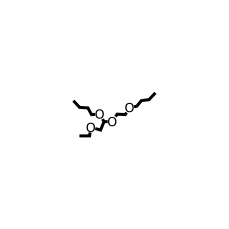 CCCCOCCOC(COCC)OCCCC